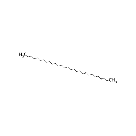 CCC=CCC=CCC=CCCCCCCCCCCCCCCCCCCC